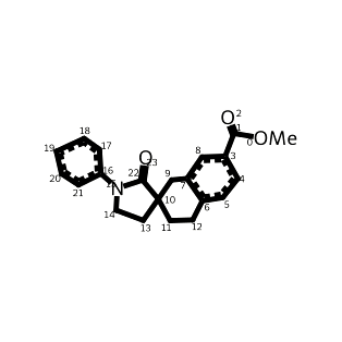 COC(=O)c1ccc2c(c1)CC1(CC2)CCN(c2ccccc2)C1=O